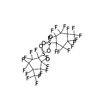 O=S(=O)(OS(=O)(=O)C1(F)C(F)(F)C(F)(F)C(F)(C(F)(F)F)C(F)(F)C1(F)F)C1(F)C(F)(F)C(F)(F)C(F)(C(F)(F)F)C(F)(F)C1(F)F